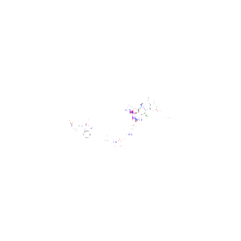 C#Cc1c(F)ccc2cc(OCOC)cc(-c3ncc4c(N5CC6CCC(C5)N6C(=O)OC(C)(C)C)nc(OC[C@@]56CCCN5[C@H](COC(=O)N5CCC(OCCCc7cccc8c7n(C)c(=O)n8C7CCC(=O)NC7=O)CC5)CC6)nc4c3F)c12